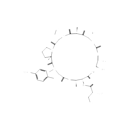 CC[C@H](C)[C@@H]1NC(=O)[C@@H](NC(=O)[C@@H](CC(C)C)NC)[C@@H](C)OC(=O)[C@H](Cc2ccc(OC)cc2)N(C)C(=O)[C@@H]2CCCN2C(=O)[C@H](CC(C)C)NC(=O)[C@@H](C)C(=O)[C@H](C(C)C)OC(=O)C[C@@H]1O